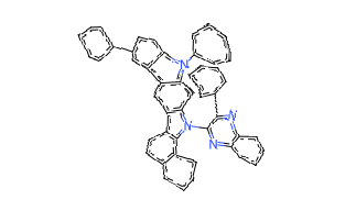 c1ccc(-c2ccc3c(c2)c2cc4c5ccc6ccccc6c5n(-c5nc6ccccc6nc5-c5ccccc5)c4cc2n3-c2ccccc2)cc1